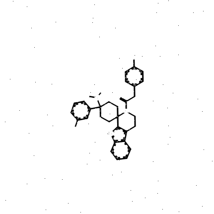 CN(C)C1(c2cccc(F)c2)CCC2(CC1)c1[nH]c3ccccc3c1CCN2C(=O)Cc1ccc(Cl)cc1